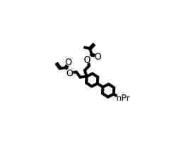 C=CC(=O)OCCC1(CCOC(=O)C(=C)C)CCC(C2CCC(CCC)CC2)CC1